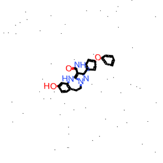 NC(=O)c1c(-c2ccc(Oc3ccccc3)cc2)nn2c1Nc1cc(O)ccc1CC2